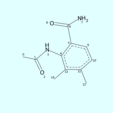 CC(=O)Nc1c(C(N)=O)ccc(C)c1C